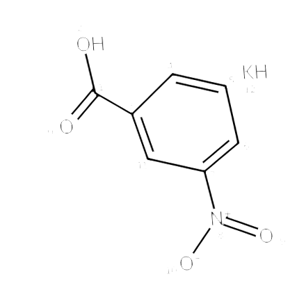 O=C(O)c1cccc([N+](=O)[O-])c1.[KH]